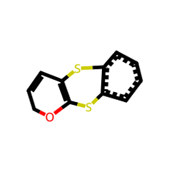 C1=CC2=C(OC1)Sc1ccccc1S2